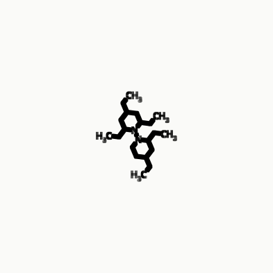 CCC1CCN(N2C(CC)CC(CC)CC2CC)C(CC)C1